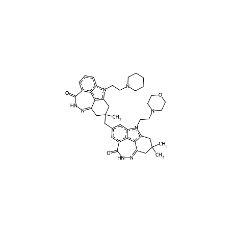 CC1(C)CC2=NNC(=O)c3cc(CC4(C)CC5=NNC(=O)c6cccc7c6c5c(n7CCN5CCCCC5)C4)cc4c3c2c(n4CCN2CCOCC2)C1